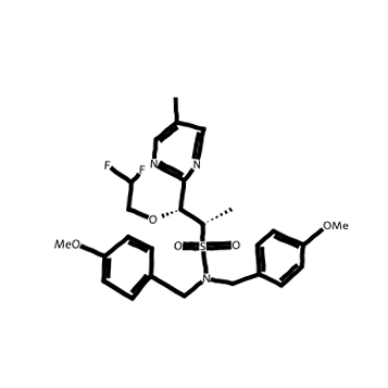 COc1ccc(CN(Cc2ccc(OC)cc2)S(=O)(=O)[C@@H](C)[C@H](OCC(F)F)c2ncc(C)cn2)cc1